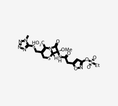 CCS(=O)(=O)Oc1cc(CC(=O)N[C@]2(OC)C(=O)N3C(C(=O)O)=C(CSc4nnnn4C)CS[C@H]32)on1